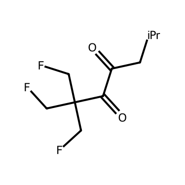 CC(C)CC(=O)C(=O)C(CF)(CF)CF